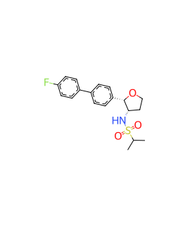 CC(C)S(=O)(=O)N[C@H]1CCO[C@H]1c1ccc(-c2ccc(F)cc2)cc1